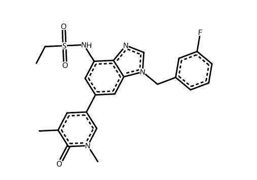 CCS(=O)(=O)Nc1cc(-c2cc(C)c(=O)n(C)c2)cc2c1ncn2Cc1cccc(F)c1